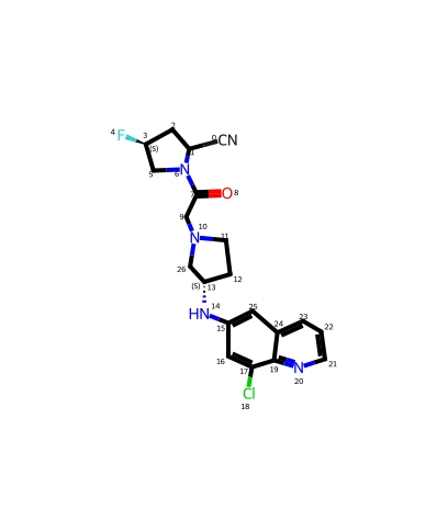 N#CC1C[C@H](F)CN1C(=O)CN1CC[C@H](Nc2cc(Cl)c3ncccc3c2)C1